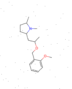 COc1ccccc1COC(C)CC1CCC(C)N1C